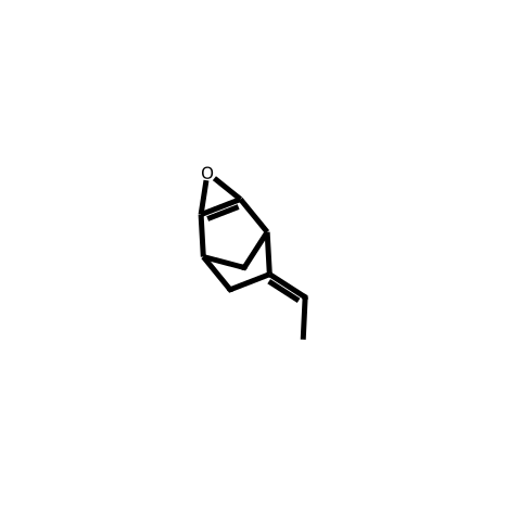 CC=C1CC2CC1C1=C2O1